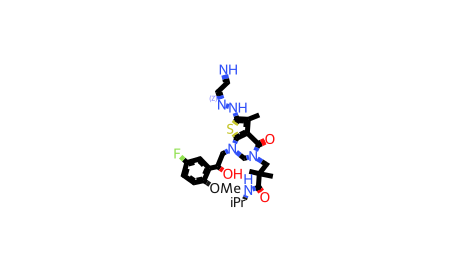 COc1ccc(F)cc1C(O)CN1CN(CC(C)(C)C(=O)NC(C)C)C(=O)c2c1sc(N/N=C\C=N)c2C